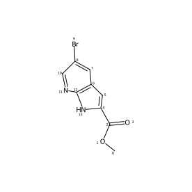 COC(=O)c1cc2cc(Br)cnc2[nH]1